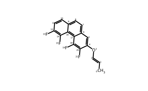 C/C=C/Oc1cc2ccc3ccc(F)c(F)c3c2c(F)c1F